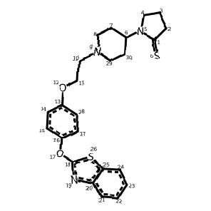 S=C1CCCN1C1CCN(CCOc2ccc(Oc3nc4ccccc4s3)cc2)CC1